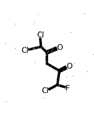 O=C(CC(=O)C(Cl)Cl)C(F)Cl